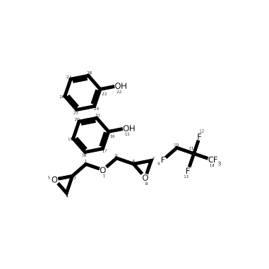 C(OCC1CO1)C1CO1.FCC(F)(F)C(F)(F)F.Oc1ccccc1.Oc1ccccc1